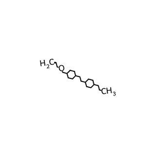 C=CCOCC1CCC(CCC2CCC(CCC)CC2)CC1